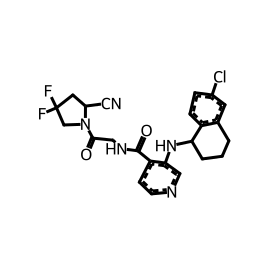 N#CC1CC(F)(F)CN1C(=O)CNC(=O)c1ccncc1NC1CCCc2cc(Cl)ccc21